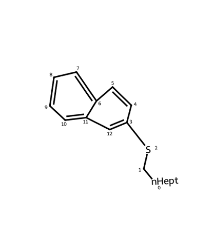 [CH2]CCCCCCCSc1ccc2ccccc2c1